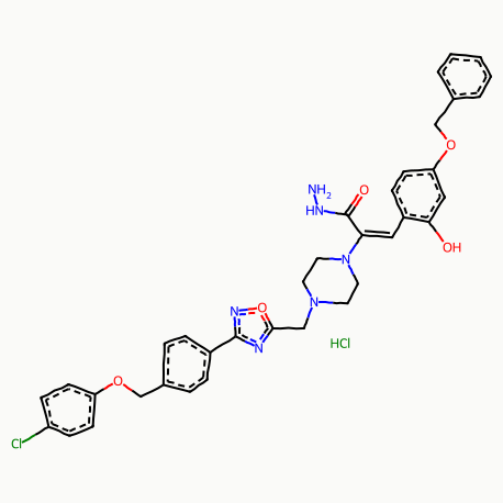 Cl.NNC(=O)C(=Cc1ccc(OCc2ccccc2)cc1O)N1CCN(Cc2nc(-c3ccc(COc4ccc(Cl)cc4)cc3)no2)CC1